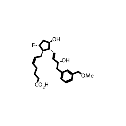 COCc1cccc(C[C@@H](O)/C=C/[C@@H]2[C@@H](C/C=C\CCCC(=O)O)[C@H](F)C[C@H]2O)c1